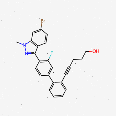 Cn1nc(-c2ccc(-c3ccccc3C#CCCCO)cc2F)c2ccc(Br)cc21